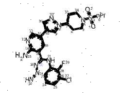 CCCS(=O)(=O)N1CCC(n2cc(-c3cnc(N)c(/C(=N/N=N)Nc4cccc(Cl)c4F)c3)cn2)CC1